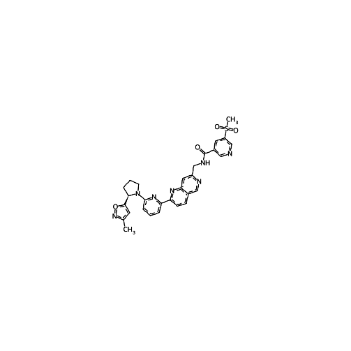 Cc1cc([C@H]2CCCN2c2cccc(-c3ccc4cnc(CNC(=O)c5cncc(S(C)(=O)=O)c5)cc4n3)n2)on1